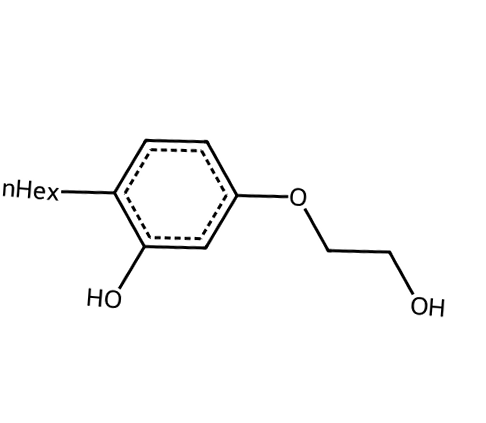 CCCCCCc1ccc(OCCO)cc1O